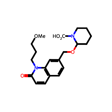 COCCCn1c(=O)ccc2ccc(COC3CCCCN3C(=O)O)cc21